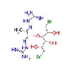 CC(/C=N/NC(=N)N)=N\NC(=N)N.OC(CBr)C(O)C(O)C(O)CBr